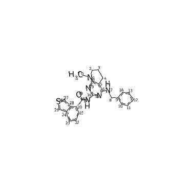 CN1CCCc2c(NCc3ccccc3)nc(NC(=O)c3cccc4cscc34)nc21